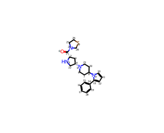 O=C([C@@H]1C[C@H](N2CCC(n3cccc3-c3ccccc3)CC2)CN1)N1CCSC1